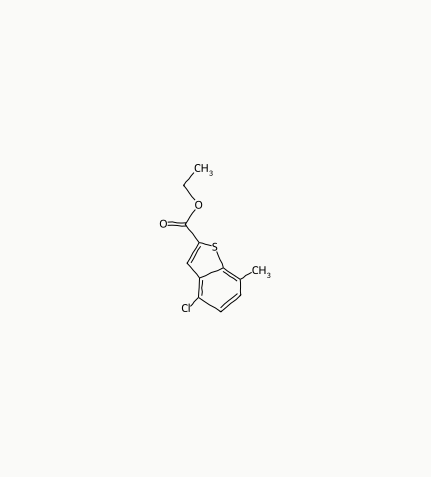 CCOC(=O)c1cc2c(Cl)ccc(C)c2s1